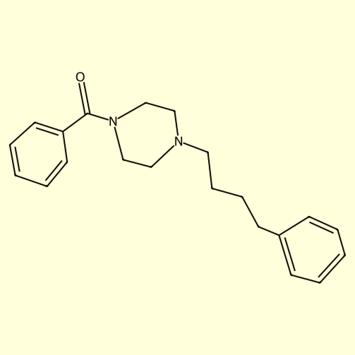 O=C(c1ccccc1)N1CCN(CCCCc2ccccc2)CC1